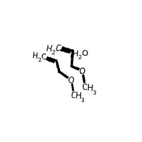 C=CCOC.C=CCOC.O